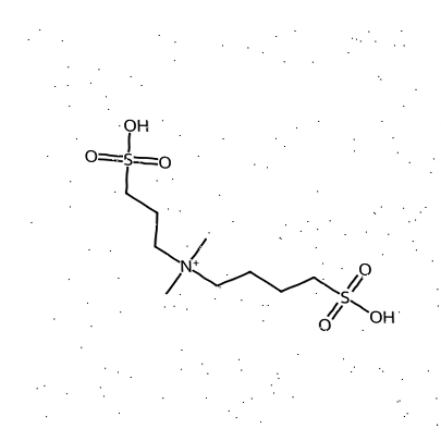 C[N+](C)(CCCCS(=O)(=O)O)CCCS(=O)(=O)O